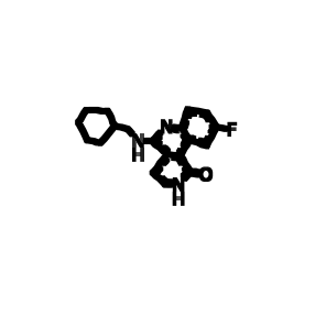 O=c1[nH]ccc2c(NCC3CCCCC3)nc3ccc(F)cc3c12